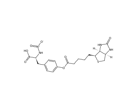 O=C1N[C@H]2[C@H](CS[C@H]2CCCCC(=O)Oc2ccc(C[C@H](N[N+](=O)[O-])C(=O)O)cc2)N1